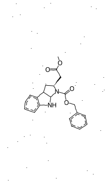 COC(=O)C[C@@H]1CC2c3ccccc3NC2N1C(=O)OCc1ccccc1